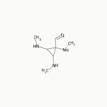 CNC1C(NC)C1(C=O)NC